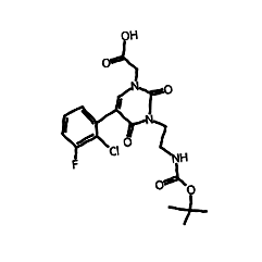 CC(C)(C)OC(=O)NCCn1c(=O)c(-c2cccc(F)c2Cl)cn(CC(=O)O)c1=O